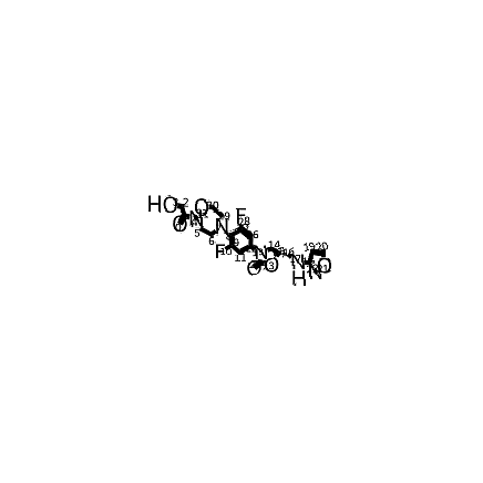 O=C(CO)N1CCN(c2c(F)cc(N3C[C@H](CNc4ccon4)OC3=O)cc2F)CCO1